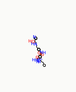 O=C1NN=N[N+]1(CCCC1CCCC1)c1ccc(S(=O)(=O)Nc2ccc(CCNCC(O)c3cccnc3)cc2)cc1